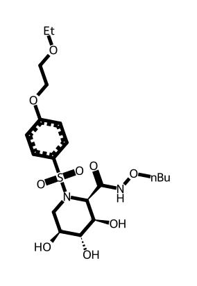 CCCCONC(=O)[C@H]1[C@@H](O)[C@H](O)[C@@H](O)CN1S(=O)(=O)c1ccc(OCCOCC)cc1